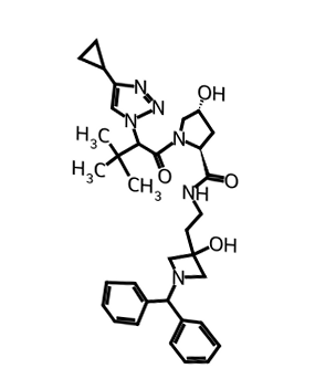 CC(C)(C)C(C(=O)N1C[C@H](O)C[C@H]1C(=O)NCCC1(O)CN(C(c2ccccc2)c2ccccc2)C1)n1cc(C2CC2)nn1